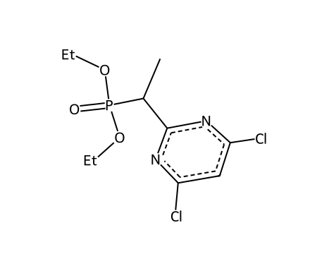 CCOP(=O)(OCC)C(C)c1nc(Cl)cc(Cl)n1